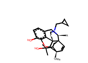 CO[C@]12C=C[C@@]3(CC1C(C)(C)O)[C@H]1Cc4ccc(O)c5c4[C@@]3(CCN1CC1CC1)C2O5